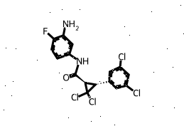 Nc1cc(NC(=O)[C@H]2[C@H](c3cc(Cl)cc(Cl)c3)C2(Cl)Cl)ccc1F